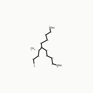 C.CCCCCCCCCCCCCCC(CCCI)CCCCCCCCCCCCCC